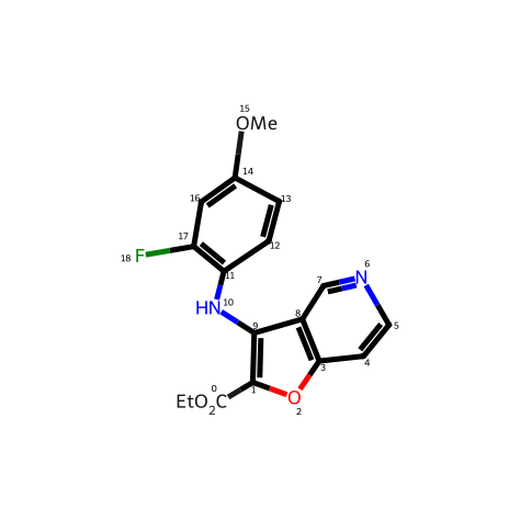 CCOC(=O)c1oc2ccncc2c1Nc1ccc(OC)cc1F